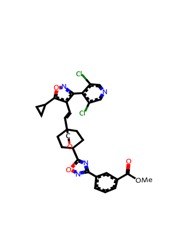 COC(=O)c1cccc(-c2noc(C34CCC(/C=C/c5c(-c6c(Cl)cncc6Cl)noc5C5CC5)(CC3)CO4)n2)c1